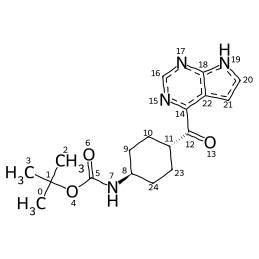 CC(C)(C)OC(=O)N[C@H]1CC[C@H](C(=O)c2ncnc3[nH]ccc23)CC1